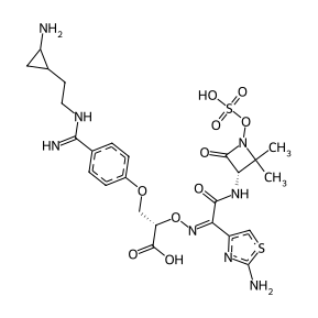 CC1(C)[C@H](NC(=O)/C(=N\O[C@@H](COc2ccc(C(=N)NCCC3CC3N)cc2)C(=O)O)c2csc(N)n2)C(=O)N1OS(=O)(=O)O